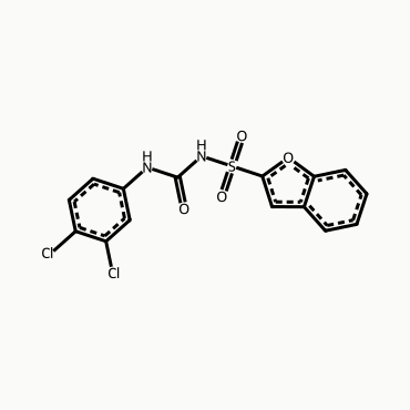 O=C(Nc1ccc(Cl)c(Cl)c1)NS(=O)(=O)c1cc2ccccc2o1